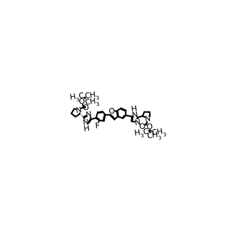 CC(C)(C)OC(=O)N1CCCC1c1ncc(-c2ccc3oc(-c4ccc(-c5c[nH]c([C@@H]6CCCN6C(=O)OC(C)(C)C)n5)c(F)c4)cc3c2)[nH]1